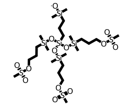 C[Si](C)([O])CCC[Si](O[Si](C)(C)CCCOS(C)(=O)=O)(O[Si](C)(C)CCCOS(C)(=O)=O)O[Si](C)(C)CCCOS(C)(=O)=O